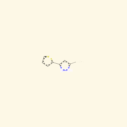 CCCCCCc1cc(-c2cccs2)n[nH]1